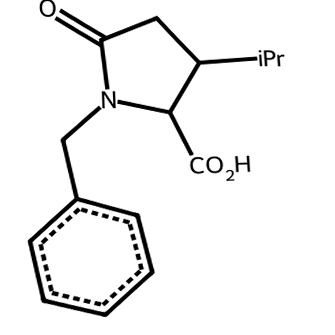 CC(C)C1CC(=O)N(Cc2ccccc2)C1C(=O)O